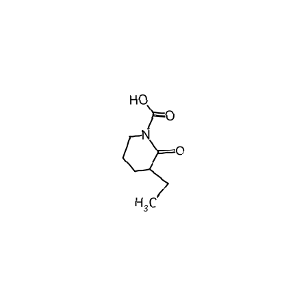 CCC1CCCN(C(=O)O)C1=O